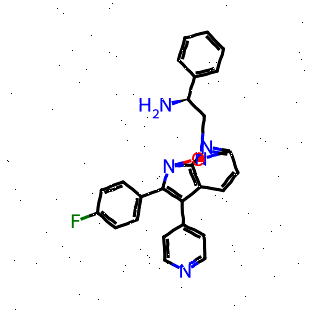 N[C@H](CN1On2c(-c3ccc(F)cc3)c(-c3ccncc3)c3ccc1nc32)c1ccccc1